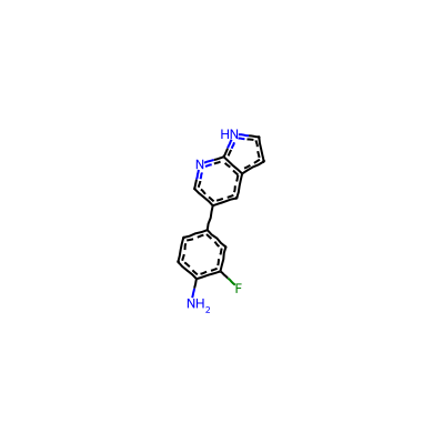 Nc1ccc(-c2cnc3[nH]ccc3c2)cc1F